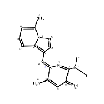 CN(C)C1=N/C(=N\c2cnn3c(N)ccnc23)C(N)=CC1=N